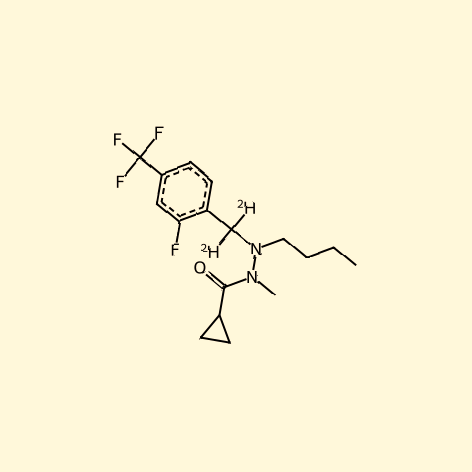 [2H]C([2H])(c1ccc(C(F)(F)F)cc1F)N(CCCC)N(C)C(=O)C1CC1